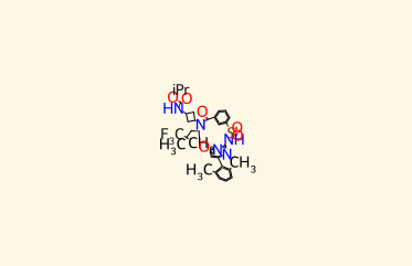 Cc1cccc(C)c1-c1cc2nc(n1)NS(=O)(=O)c1cccc(c1)C(=O)N(C1CC(NC(=O)OC(C)C)C1)[C@H](CC(C)(C)C(F)(F)F)CO2